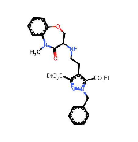 CCOC(=O)c1nn(Cc2ccccc2)c(C(=O)OCC)c1CCNC1COc2ccccc2N(C)C1=O